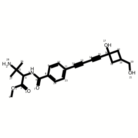 COC(=O)C(NC(=O)c1ccc(C#CC#CC2(O)CC(CO)C2)cc1)C(C)(C)N